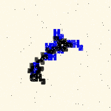 CN1CCN(CCCNCCNc2ncc(N)cc2N)CC1